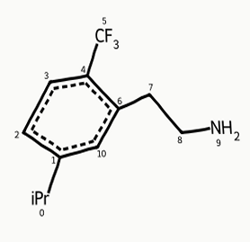 CC(C)c1ccc(C(F)(F)F)c(CCN)c1